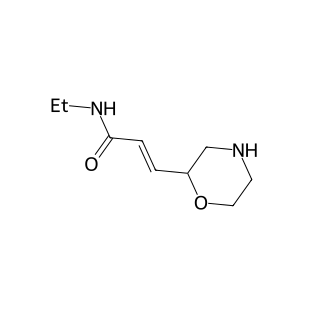 CCNC(=O)C=CC1CNCCO1